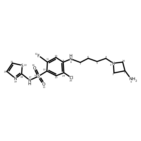 NC1CN(CCCCNc2cc(F)c(S(=O)(=O)Nc3nccs3)cc2Cl)C1